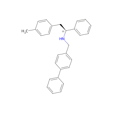 Cc1ccc(C[C@H](NCc2ccc(-c3ccccc3)cc2)c2ccccc2)cc1